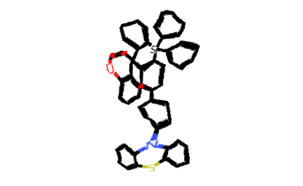 c1ccc([Si]2(c3ccccc3)c3ccccc3C3(c4ccccc4Oc4ccccc43)c3cc(-c4ccc(N5c6ccccc6Sc6ccccc65)cc4)ccc32)cc1